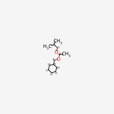 CC(C)COC(C)OCC1CCCCC1